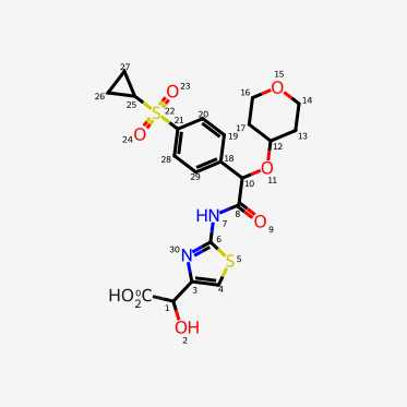 O=C(O)C(O)c1csc(NC(=O)C(OC2CCOCC2)c2ccc(S(=O)(=O)C3CC3)cc2)n1